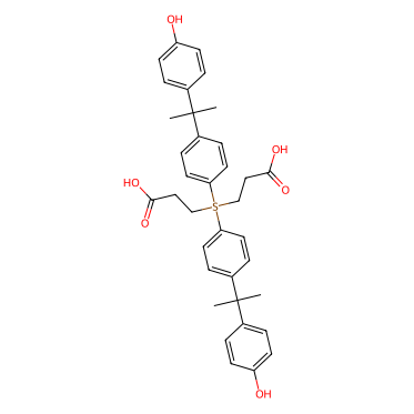 CC(C)(c1ccc(O)cc1)c1ccc(S(CCC(=O)O)(CCC(=O)O)c2ccc(C(C)(C)c3ccc(O)cc3)cc2)cc1